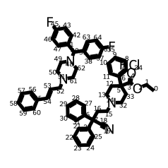 CCOC(=O)C1(c2ccccc2)CCN(CCC(C#N)(c2ccccc2)c2ccccc2)CC1.Cl.Fc1ccc(C(c2ccc(F)cc2)N2CCN(C/C=C/c3ccccc3)CC2)cc1